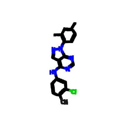 Cc1ccc(-n2ncc3c(Nc4ccc(C#N)c(Cl)c4)ncnc32)c(C)c1